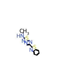 CCNc1nn2cc(-c3nc4ccccc4s3)nc2s1